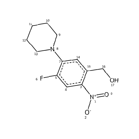 O=[N+]([O-])c1cc(F)c(N2CCCCC2)cc1CO